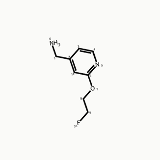 NCc1ccnc(OCCF)c1